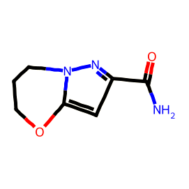 NC(=O)c1cc2n(n1)CCCO2